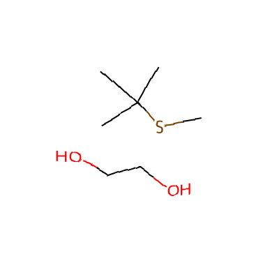 CSC(C)(C)C.OCCO